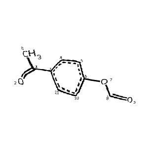 CC(=O)c1ccc(O[C]=O)cc1